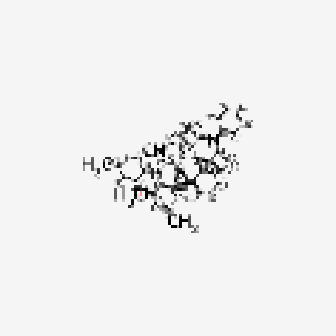 Cc1cc(C)c(B(c2cccc3c2Oc2ccccc2C32c3ccccc3N(c3ccccc3)c3ccccc32)c2c(C)cc(C)cc2C)c(C)c1